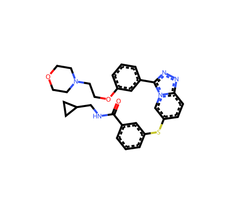 O=C(NCC1CC1)c1cccc(Sc2ccc3nnc(-c4cccc(OCCN5CCOCC5)c4)n3c2)c1